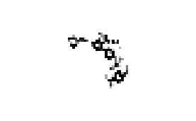 Nc1noc2c(OCCN3CCOCC3)ccc(-c3ccc(NC(=O)Nc4cc(C(F)(F)F)ccc4F)cc3)c12